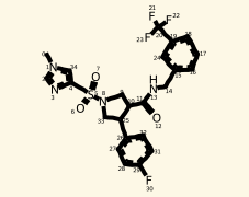 Cn1cnc(S(=O)(=O)N2CC(C(=O)NCc3cccc(C(F)(F)F)c3)C(c3ccc(F)cc3)C2)c1